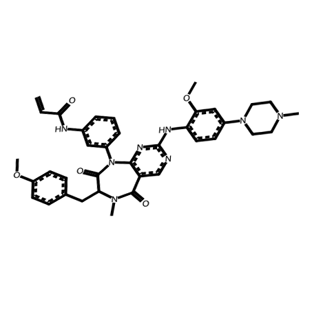 C=CC(=O)Nc1cccc(N2C(=O)C(Cc3ccc(OC)cc3)N(C)C(=O)c3cnc(Nc4ccc(N5CCN(C)CC5)cc4OC)nc32)c1